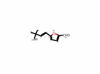 CCCC(C)(C)/C=C/c1ccc(C=O)o1